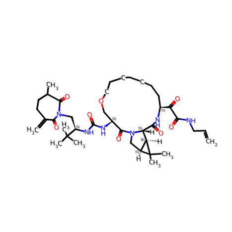 C=CCNC(=O)C(=O)[C@@H]1CCCCCCCOC[C@H](NC(=O)N[C@H](CN2C(=O)C(=C)CCC(C)C2=O)C(C)(C)C)C(=O)N2C[C@H]3[C@@H]([C@H]2C(=O)N1)C3(C)C